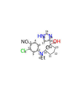 CCN(c1ccc(C#N)c(Cl)c1)C1CCCC(O)(c2c[nH]cn2)C1